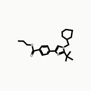 CCCOC(=O)c1ccc(-c2cn(CC3CCCCC3)c(C(C)(C)C)n2)cc1